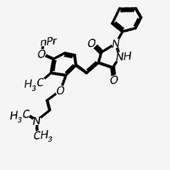 CCCOc1ccc(C=C2C(=O)NN(c3ccccc3)C2=O)c(OCCN(C)C)c1C